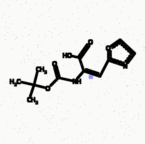 CC(C)(C)OC(=O)N/C(=C/c1ncco1)C(=O)O